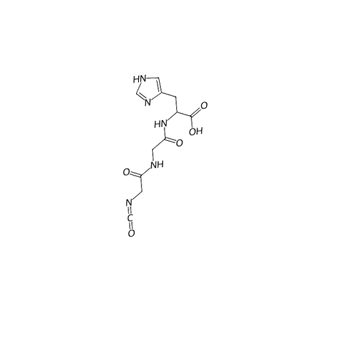 O=C=NCC(=O)NCC(=O)NC(Cc1c[nH]cn1)C(=O)O